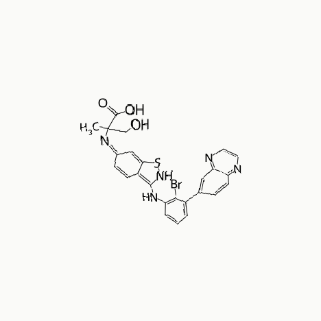 CC(CO)(N=c1ccc2c(Nc3cccc(-c4ccc5nccnc5c4)c3Br)[nH]sc-2c1)C(=O)O